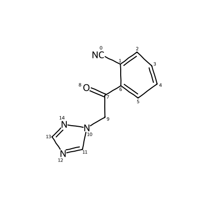 N#Cc1ccccc1C(=O)Cn1cncn1